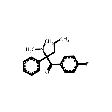 CCCC(C(=O)c1ccc(F)cc1)(c1ccccc1)N(C)C